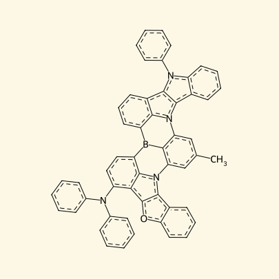 Cc1cc2c3c(c1)-n1c4c(cccc4c4c1c1ccccc1n4-c1ccccc1)B3c1ccc(N(c3ccccc3)c3ccccc3)c3c4oc5ccccc5c4n-2c13